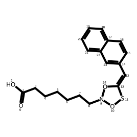 O=C(O)CCCCCCN1OSC(=Cc2ccc3ccccc3c2)O1